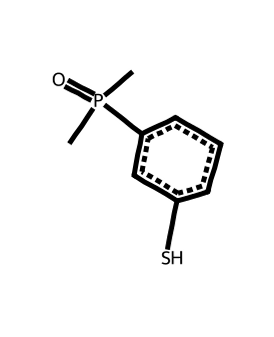 CP(C)(=O)c1cccc(S)c1